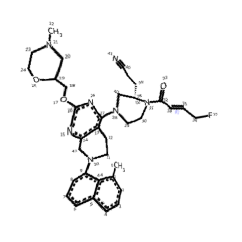 Cc1cccc2cccc(N3CCc4c(nc(OCC5CN(C)CCO5)nc4N4CCN(C(=O)/C=C/CF)[C@@H](CC#N)C4)C3)c12